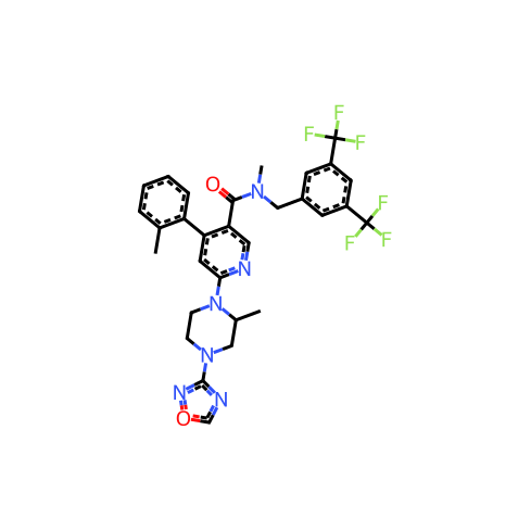 Cc1ccccc1-c1cc(N2CCN(c3ncon3)CC2C)ncc1C(=O)N(C)Cc1cc(C(F)(F)F)cc(C(F)(F)F)c1